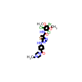 CCN1CCN(C(=O)c2ccc(Nc3ncnc4c(C(=O)Nc5c(Cl)c(OC)c(Br)c(OC)c5Cl)csc34)cc2)CC1